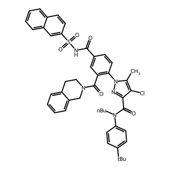 CCCCN(C(=O)c1nn(-c2ccc(C(=O)NS(=O)(=O)c3ccc4ccccc4c3)cc2C(=O)N2CCc3ccccc3C2)c(C)c1Cl)c1ccc(C(C)(C)C)cc1